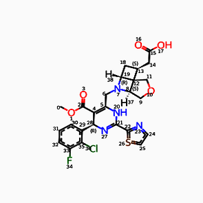 COC(=O)C1=C(CN2[C@@H]3COCC34[C@H](CC(=O)O)C[C@@H]24)NC(c2nccs2)=N[C@H]1c1cccc(F)c1Cl